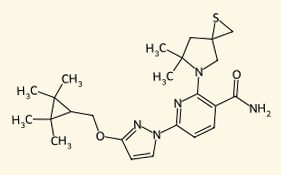 CC1(C)CC2(CS2)CN1c1nc(-n2ccc(OCC3C(C)(C)C3(C)C)n2)ccc1C(N)=O